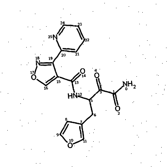 NC(=O)C(=O)C(Cc1ccoc1)NC(=O)c1conc1-c1ccccn1